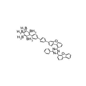 Bc1c(B)c(B)c(-c2ccc(-c3ccc(-c4ccc5c(c4)oc4cccc(-c6nc(-c7ccccc7)nc(-c7cccc8c7oc7ccccc78)n6)c45)cc3)cc2)c(B)c1B